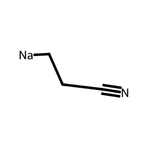 N#CC[CH2][Na]